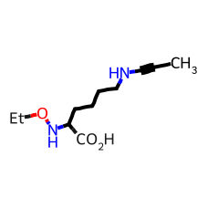 CC#CNCCCCC(NOCC)C(=O)O